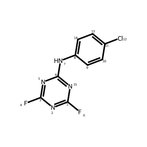 Fc1nc(F)nc(Nc2ccc(Cl)cc2)n1